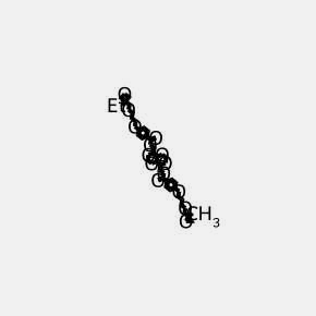 CCC1(COCCCOc2ccc(C(=O)OCC3OCOC4C(COC(=O)c5ccc(OCCCOCC6(C)CO6)cc5)OCOC34)cc2)COC1